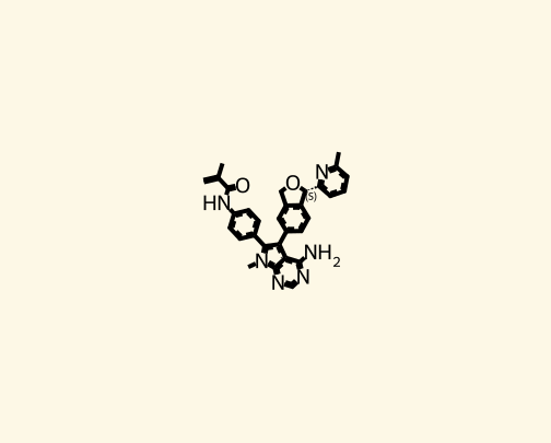 C=C(C)C(=O)Nc1ccc(-c2c(-c3ccc4c(c3)CO[C@@H]4c3cccc(C)n3)c3c(N)ncnc3n2C)cc1